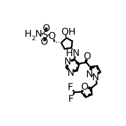 NS(=O)(=O)OC[C@H]1C[C@@H](Nc2ncncc2C(=O)c2ccn(Cc3ccc(C(F)F)o3)n2)C[C@@H]1O